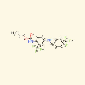 CCCOC(=O)Nc1ccc(NCc2ccc(C(F)(F)F)cc2)cc1C(F)(F)F